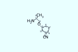 C[C@H](N)COc1cccc(C#N)c1